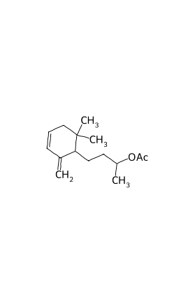 C=C1C=CCC(C)(C)C1CCC(C)OC(C)=O